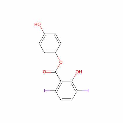 O=C(Oc1ccc(O)cc1)c1c(I)ccc(I)c1O